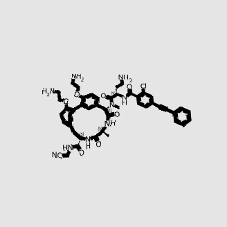 C[C@@H]1NC(=O)[C@@H](N(C)C(=O)[C@H](CCN)NC(=O)c2ccc(C#Cc3ccccc3)cc2Cl)c2ccc(OCCN)c(c2)-c2cc(ccc2OCCN)C[C@@H](C(=O)NCC#N)NC1=O